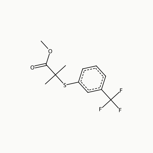 COC(=O)C(C)(C)Sc1cccc(C(F)(F)F)c1